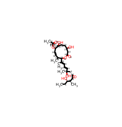 CC[C@H](O)[C@@H](C)[C@@H]1O[C@H]1C[C@@](C)(O)/C=C/C=C(\C)C1OC(=O)CC(O)CCC(C)(O)C(OC(C)=O)C=CC1C